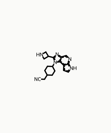 N#CCC1CCC(n2c(C3CNC3)nc3cnc4[nH]ccc4c32)CC1